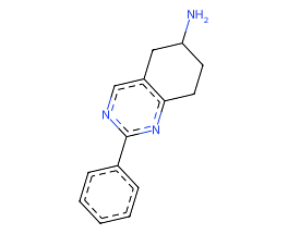 NC1CCc2nc(-c3ccccc3)ncc2C1